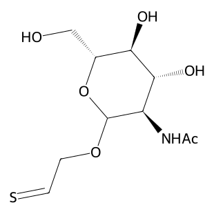 CC(=O)N[C@H]1C(OCC=S)O[C@H](CO)[C@@H](O)[C@@H]1O